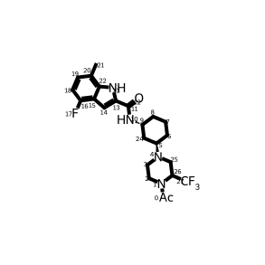 CC(=O)N1CCN([C@@H]2CCC[C@@H](NC(=O)c3cc4c(F)ccc(C)c4[nH]3)C2)CC1C(F)(F)F